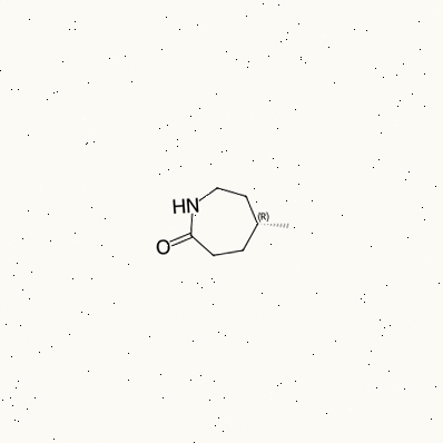 C[C@H]1CCNC(=O)CC1